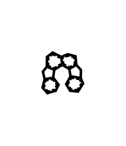 c1ccc2c(c1)Cc1ccc3ccc4c(c3c1-2)-c1ccccc1C4